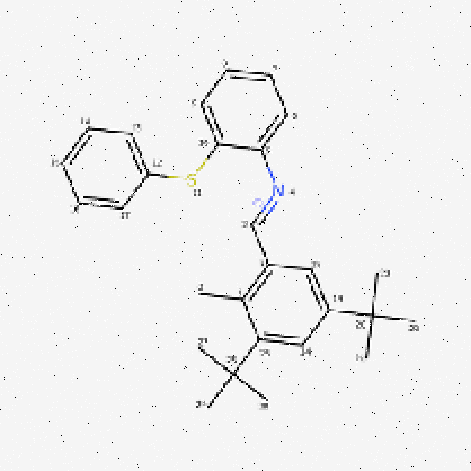 Cc1c(/C=N/c2ccccc2Sc2ccccc2)cc(C(C)(C)C)cc1C(C)(C)C